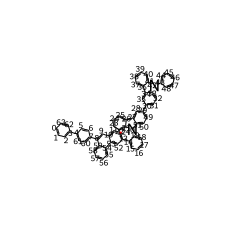 c1ccc(-c2ccc(-c3cc4ccc(-c5ccccc5-n5c6ccccc6c6cc(-c7ccc8c(c7)c7ccccc7n8-c7ccccc7)ccc65)cc4c4ccccc34)cc2)cc1